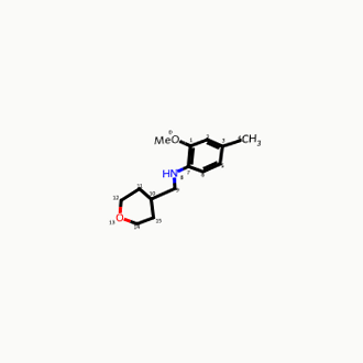 COc1cc(C)ccc1NCC1CCOCC1